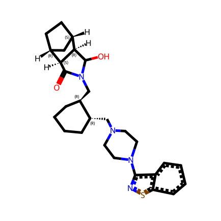 O=C1[C@H]2[C@@H]3CC[C@@H](C3)[C@H]2C(O)N1C[C@@H]1CCCC[C@H]1CN1CCN(c2nsc3ccccc23)CC1